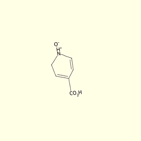 O=C(O)C1=CC[NH+]([O-])C=C1